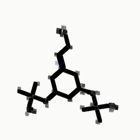 CC(C)(C)[Si](C)(C)OC1C/C(=C/CP)C[C@@H](O[Si](C)(C)C(C)(C)C)C1